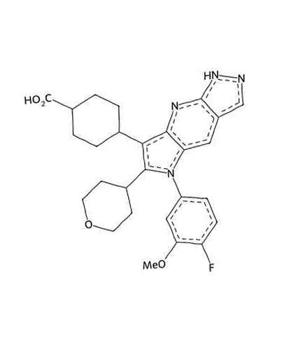 COc1cc(-n2c(C3CCOCC3)c(C3CCC(C(=O)O)CC3)c3nc4[nH]ncc4cc32)ccc1F